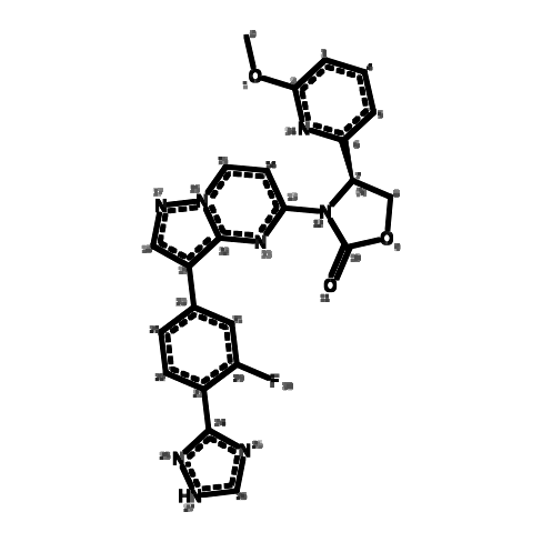 COc1cccc([C@H]2COC(=O)N2c2ccn3ncc(-c4ccc(-c5nc[nH]n5)c(F)c4)c3n2)n1